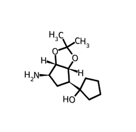 CC1(C)O[C@@H]2[C@H](O1)[C@@H](C1(O)CCCC1)C[C@H]2N